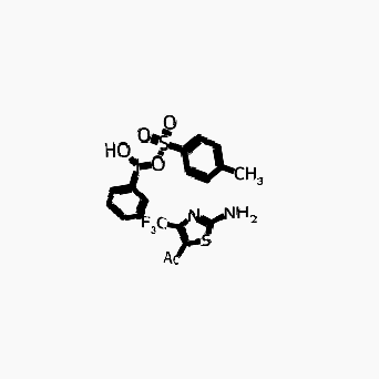 CC(=O)c1sc(N)nc1C(F)(F)F.Cc1ccc(S(=O)(=O)OI(O)c2ccccc2)cc1